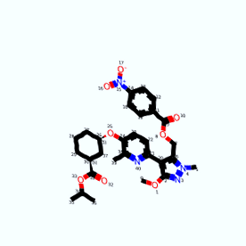 COc1nn(C)c(COC(=O)c2ccc([N+](=O)[O-])cc2)c1-c1ccc(O[C@H]2CCC[C@H](C(=O)OC(C)C)C2)c(C)n1